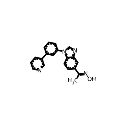 CC(=NO)c1ccc2c(c1)ncn2-c1cccc(-c2cccnc2)c1